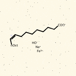 CCCCCCCC/C=C\CCCCCCCC(=O)[O-].[Fe+3].[Na+].[OH-]